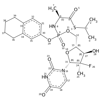 CC(C)SC(=O)[C@H](C)NP(=O)(OC[C@H]1O[C@@H](n2ccc(=O)[nH]c2=O)[C@](C)(F)[C@@H]1O)Oc1ccc2c(c1)CCCC2